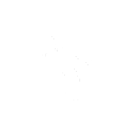 Cc1cc(C(F)(F)F)ccc1Nc1nc(N2CCCC2C(C)C)nc2c1CCN(c1ncccc1C(F)(F)F)CC2